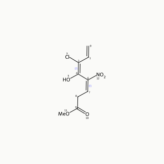 C=C/C(Cl)=C(O)\C(=C/CC(=O)OC)[N+](=O)[O-]